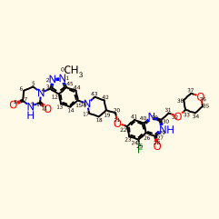 Cn1nc(N2CCC(=O)NC2=O)c2ccc(N3CCC(COc4cc(F)c5c(=O)[nH]c(COC6CCOCC6)nc5c4)CC3)cc21